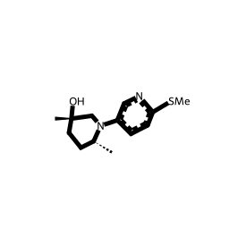 CSc1ccc(N2C[C@@](C)(O)CC[C@H]2C)cn1